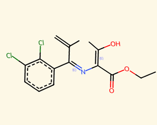 C=C(C)/C(=N\C(C(=O)OCC)=C(/C)O)c1cccc(Cl)c1Cl